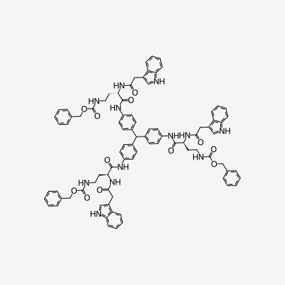 O=C(Cc1c[nH]c2ccccc12)N[C@@H](CCNC(=O)OCc1ccccc1)C(=O)Nc1ccc(C(c2ccc(NC(=O)[C@H](CCNC(=O)OCc3ccccc3)NC(=O)Cc3c[nH]c4ccccc34)cc2)c2ccc(NC(=O)[C@H](CCNC(=O)OCc3ccccc3)NC(=O)Cc3c[nH]c4ccccc34)cc2)cc1